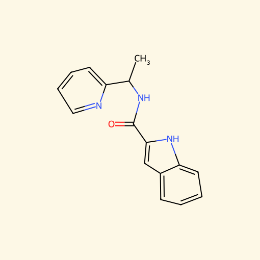 CC(NC(=O)c1cc2ccccc2[nH]1)c1ccccn1